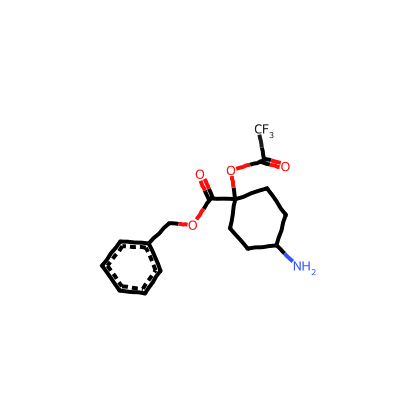 NC1CCC(OC(=O)C(F)(F)F)(C(=O)OCc2ccccc2)CC1